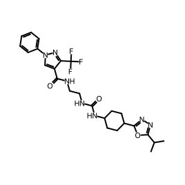 CC(C)c1nnc(C2CCC(NC(=O)NCCNC(=O)c3cn(-c4ccccc4)nc3C(F)(F)F)CC2)o1